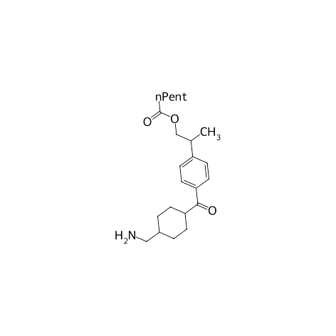 CCCCCC(=O)OCC(C)c1ccc(C(=O)C2CCC(CN)CC2)cc1